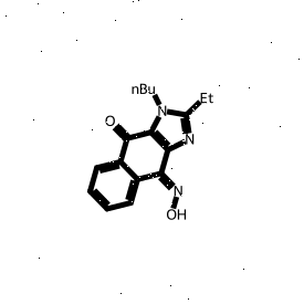 CCCCn1c(CC)nc2c1C(=O)c1ccccc1C2=NO